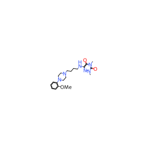 COc1ccccc1N1CCN(CCCCNc2nn(C)c(=O)n(C)c2=O)CC1